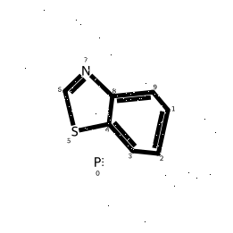 [P].c1ccc2scnc2c1